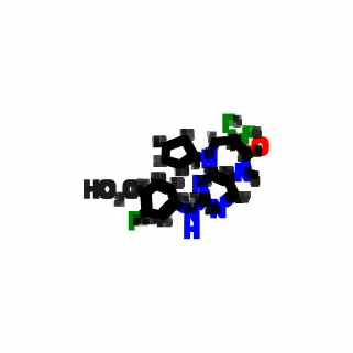 CN1C(=O)C(F)(F)CN(C2CCCC2)c2nc(Nc3ccc(C(=O)O)c(F)c3)ncc21